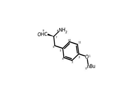 CCCCOc1ccc(C[C@H](N)C=O)cc1